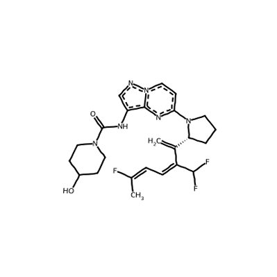 C=C(/C(=C\C=C(/C)F)C(F)F)[C@H]1CCCN1c1ccn2ncc(NC(=O)N3CCC(O)CC3)c2n1